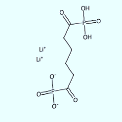 O=C(CCCCC(=O)P(=O)(O)O)P(=O)([O-])[O-].[Li+].[Li+]